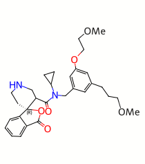 COCCCc1cc(CN(C(=O)C2CNCC[C@@]23OC(=O)c2ccccc23)C2CC2)cc(OCCOC)c1